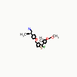 CC#C[C@@H](CC#N)c1ccc(OCc2ccc3sc(F)c(-c4ccc(OCCOC)cc4C)c3c2)cc1